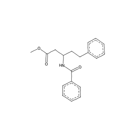 COC(=O)CC(CCc1ccccc1)NC(=O)c1ccccc1